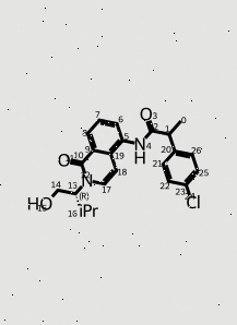 CC(C(=O)Nc1cccc2c(=O)n([C@@H](CO)C(C)C)ccc12)c1ccc(Cl)cc1